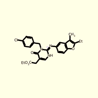 CCOC(=O)Cc1c[nH]/c(=N\c2ccc3oc(CC)c(C)c3c2)n(Cc2ccc(Cl)cc2)c1=O